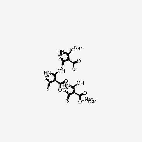 O=C([O-])c1c(O)[nH]sc1=S.O=C([O-])c1c(O)[nH]sc1=S.O=C([O-])c1c(O)[nH]sc1=S.[Na+].[Na+].[Na+]